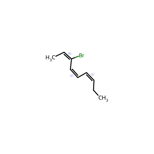 C\C=C(Br)/C=C\C=C/CC